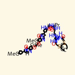 COc1ccc(C2=CN3C(=O)c4cc(OC)c(OCCCOc5cc6c(cc5OC)C(=O)N5C=C(c7ccc(NC(=O)[C@H](C)NC(=O)[C@@H](NC(=O)CCCNc8cc9nc(n8)NC(=O)CCSC8CCCCCCCCC(C8)SCCC(=O)N9)C(C)C)cc7)CC5C=N6)cc4N=C[C@@H]3C2)cc1